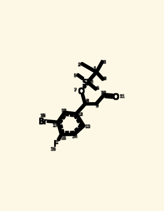 CC(C)(C)[Si](C)(C)OC(CC=O)c1ccc(F)c(Br)c1